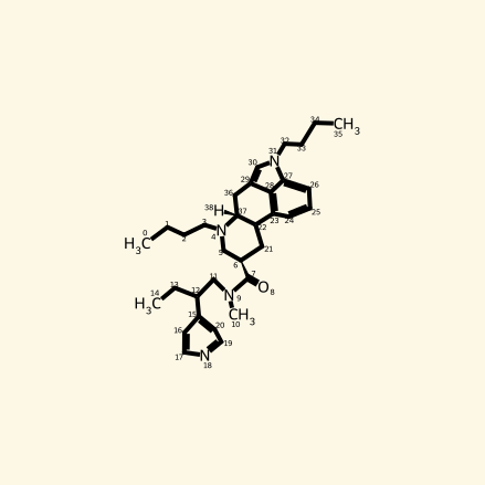 CCCCN1C[C@H](C(=O)N(C)CC(CC)c2ccncc2)CC2c3cccc4c3c(cn4CCCC)C[C@H]21